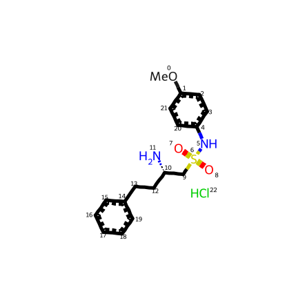 COc1ccc(NS(=O)(=O)C[C@@H](N)CCc2ccccc2)cc1.Cl